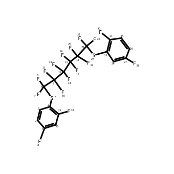 Fc1ccc(SC(F)(F)C(F)(F)C(F)(F)C(F)(F)C(F)(F)C(F)(F)Sc2cc(F)ccc2F)c(F)c1